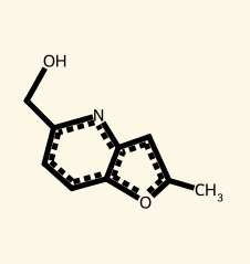 Cc1cc2nc(CO)ccc2o1